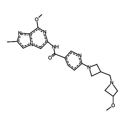 COc1nc(NC(=O)c2ccc(N3CC(CN4CC(OC)C4)C3)nc2)cn2cc(C)nc12